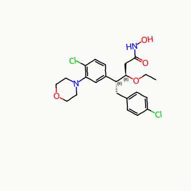 CCO[C@H](CC(=O)NO)[C@H](Cc1ccc(Cl)cc1)c1ccc(Cl)c(N2CCOCC2)c1